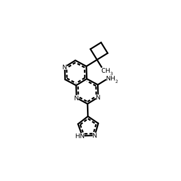 CC1(c2cncc3nc(-c4cn[nH]c4)nc(N)c23)CCC1